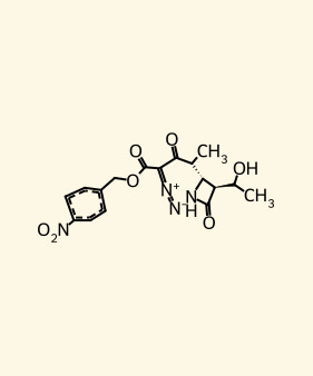 CC(C(=O)C(=[N+]=[N-])C(=O)OCc1ccc([N+](=O)[O-])cc1)[C@H]1NC(=O)[C@@H]1C(C)O